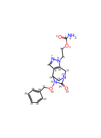 NC(=O)OCCn1ncc2c1CN1CC2N(OCc2ccccc2)C1=O